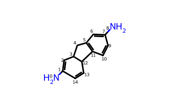 NC1=CC2Cc3cc(N)ccc3C2C=C1